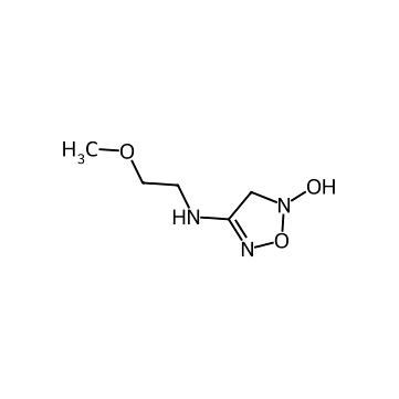 COCCNC1=NON(O)C1